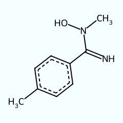 Cc1ccc(C(=N)N(C)O)cc1